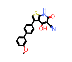 COc1cccc(-c2ccc(-c3csc4[nH]c(=O)c(C#N)c(O)c34)cc2)c1